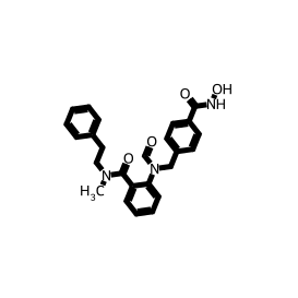 CN(CCc1ccccc1)C(=O)c1ccccc1N(C=O)Cc1ccc(C(=O)NO)cc1